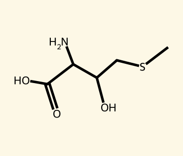 CSCC(O)C(N)C(=O)O